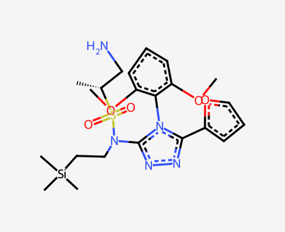 COc1cccc(OC)c1-n1c(-c2ccco2)nnc1N(CC[Si](C)(C)C)S(=O)(=O)[C@H](C)CN